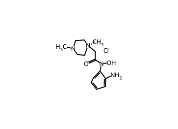 CN1CC[N+](C)(CC(=O)N(O)c2ccccc2N)CC1.[Cl-]